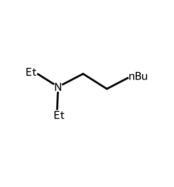 [CH2]CN(CC)CCCCCC